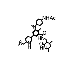 CC(=O)N[C@H]1CC[C@@H](N(C)c2cc(C3CCC(CN(C)C)NC3)cc(C(=O)NCC3C(=O)NC(C)CC3C)c2C)CC1